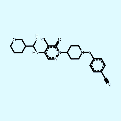 CC(Nc1cnn(C2CCN(Sc3ccc(C#N)cc3)CC2)c(=O)c1Cl)C1CCCOC1